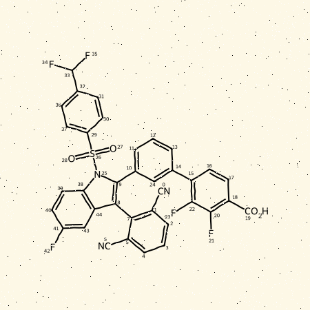 N#Cc1cccc(C#N)c1-c1c(-c2cccc(-c3ccc(C(=O)O)c(F)c3F)c2)n(S(=O)(=O)c2ccc(C(F)F)cc2)c2ccc(F)cc12